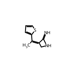 CC(=C1CNC1=N)c1cccs1